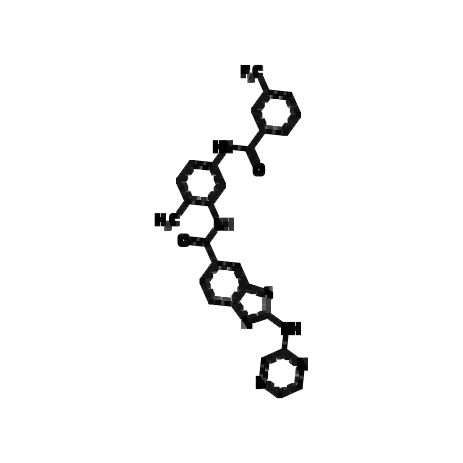 Cc1ccc(NC(=O)c2cccc(C(F)(F)F)c2)cc1NC(=O)c1ccc2nc(Nc3cnccn3)sc2c1